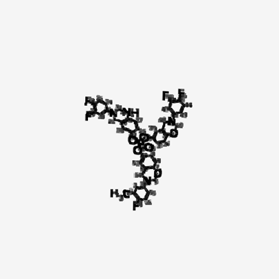 Cc1cc(N2COc3ccc(OP(=O)(Oc4ccc5c(c4)CN(c4ccc(F)c(F)c4)CN5)Oc4ccc5c(c4)CN(c4ccc(F)c(F)c4)CO5)cc3C2)ccc1F